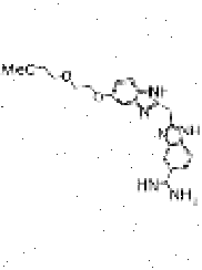 COCCOCCOc1ccc2[nH]c(Cc3nc4cc(C(=N)N)ccc4[nH]3)nc2c1